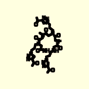 CC(=O)c1cn(CCCNCC(=O)N(C)CC(=O)N(CCCn2cc(C(C)=O)nn2)CC(=O)N(C)CC(=O)N(CCCn2cc(C(C)=O)nn2)CC(N)=O)nn1